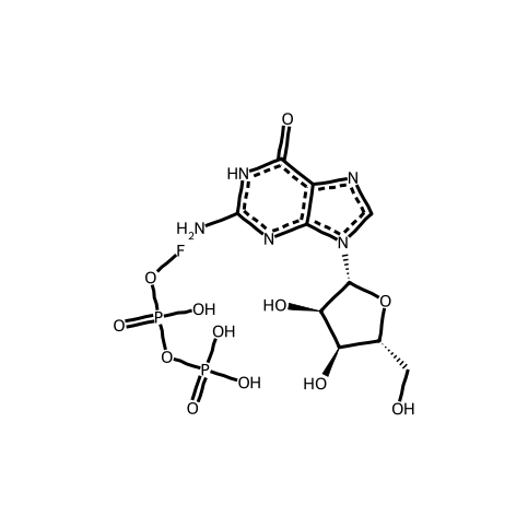 Nc1nc2c(ncn2[C@@H]2O[C@H](CO)[C@@H](O)[C@H]2O)c(=O)[nH]1.O=P(O)(O)OP(=O)(O)OF